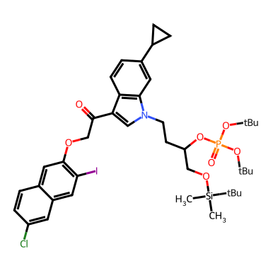 CC(C)(C)OP(=O)(OC(CCn1cc(C(=O)COc2cc3ccc(Cl)cc3cc2I)c2ccc(C3CC3)cc21)CO[Si](C)(C)C(C)(C)C)OC(C)(C)C